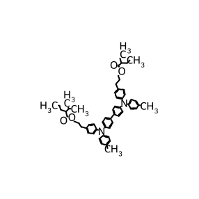 CCCC(C(=O)OCCCc1ccc(N(c2ccc(C)cc2)c2ccc(-c3ccc(N(c4ccc(C)cc4)c4ccc(CCCOC(=O)C(CC)CC)cc4)cc3)cc2)cc1)C(C)C